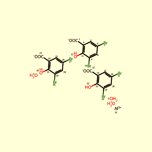 O.O.O.O=C([O-])c1cc(Br)cc(Br)c1O.O=C([O-])c1cc(Br)cc(Br)c1O.O=C([O-])c1cc(Br)cc(Br)c1O.[Al+3]